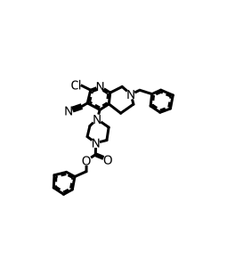 N#Cc1c(Cl)nc2c(c1N1CCN(C(=O)OCc3ccccc3)CC1)CCN(Cc1ccccc1)C2